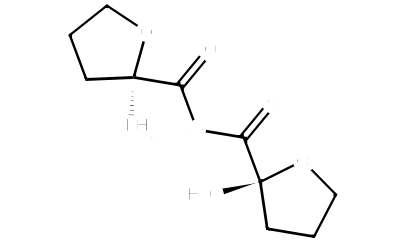 C[C@]1(C(=O)OC(=O)[C@@]2(P)CCCO2)CCCO1